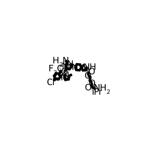 Cc1ccn(-c2cc(Cl)ccc2[C@@H](Oc2cc(N3CCC4(CC3)CN[C@H](C(=O)OCCOC(=O)[C@H](N)C(C)C)C4)nc(N)n2)C(F)(F)F)n1